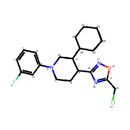 Fc1cccc(N2CCC(c3noc(CCl)n3)C(C3CCCCC3)C2)c1